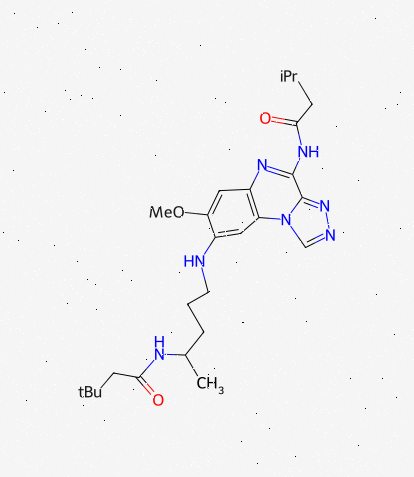 COc1cc2nc(NC(=O)CC(C)C)c3nncn3c2cc1NCCCC(C)NC(=O)CC(C)(C)C